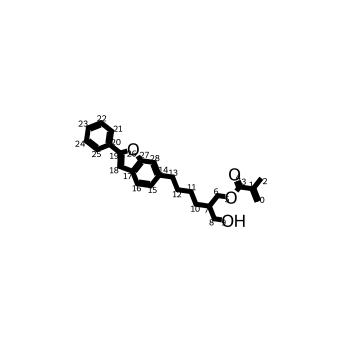 C=C(C)C(=O)OCC(CO)CCCCc1ccc2cc(-c3ccccc3)oc2c1